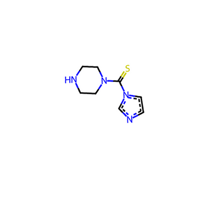 S=C(N1CCNCC1)n1ccnc1